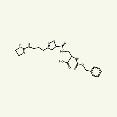 O=C(NC(CNC(=O)C1CC(CCCNC2=NCCN2)=NO1)C(=O)O)OCc1ccccc1